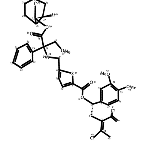 C=C(Cl)/C(C[C@H](OC(=O)c1ccc(CNC(COC)(C(=O)O[C@H]2CN3CCC2CC3)c2ccccc2)s1)c1ccc(OC)c(OC)c1)=C(\C)Cl